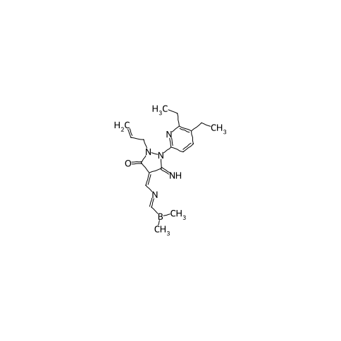 C=CCN1C(=O)/C(=C/N=C/B(C)C)C(=N)N1c1ccc(CC)c(CC)n1